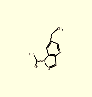 CCc1cnc2cnn(C(C)C)c2c1